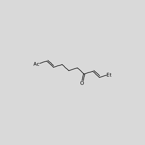 CCC=CC(=O)CCCC=CC(C)=O